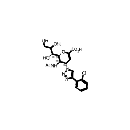 CC(=O)N[C@H]1[C@H]([C@H](O)C(O)CO)OC(C(=O)O)=C[C@@H]1n1cc(-c2ccccc2Cl)nn1